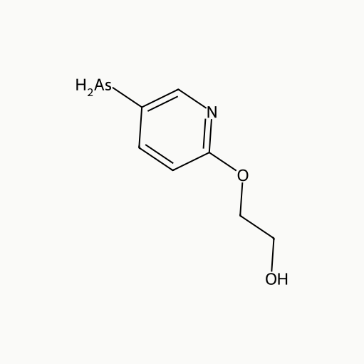 OCCOc1ccc([AsH2])cn1